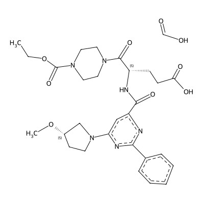 CCOC(=O)N1CCN(C(=O)[C@H](CCC(=O)O)NC(=O)c2cc(N3CC[C@H](OC)C3)nc(-c3ccccc3)n2)CC1.O=CO